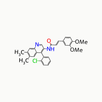 COc1ccc(C=CC(=O)Nc2cnc3cc(C)c(C)cc3c2-c2ccccc2Cl)cc1OC